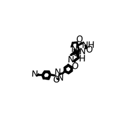 N#Cc1ccc(-c2nc(-c3ccc(Oc4ccc(N5CCCC56C(=O)NC(=O)NC6=O)cn4)cc3)no2)cc1